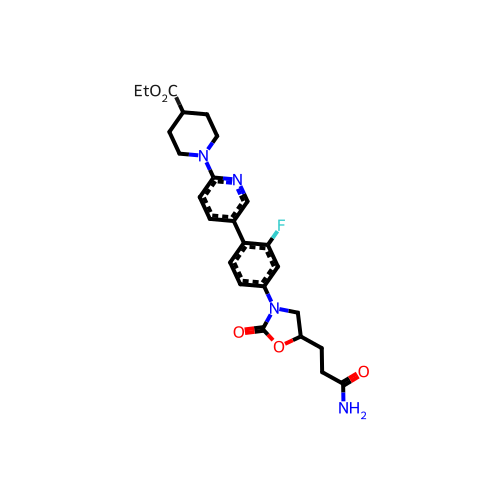 CCOC(=O)C1CCN(c2ccc(-c3ccc(N4CC(CCC(N)=O)OC4=O)cc3F)cn2)CC1